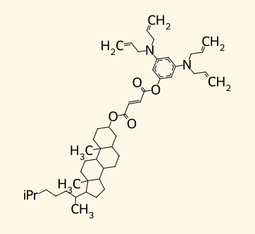 C=CCN(CC=C)c1cc(OC(=O)/C=C/C(=O)OC2CCC3(C)C(CCC4C3CCC3(C)C(C(C)CCCC(C)C)CCC43)C2)cc(N(CC=C)CC=C)c1